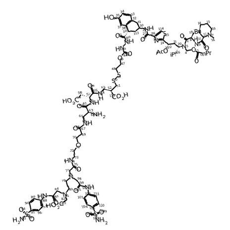 CCCC(=O)OCN(C(=O)[C@H](NC(=O)C1CCCCN1C)C(C)CC)[C@@H](C[C@H](OC(C)=O)c1nc(C(=O)NC2Cc3ccc(O)cc3[C@@H](C(=O)NNC(=O)OCCSSC[C@H](CNC(=O)[C@@H](CC(=O)O)NC(=O)[C@@H](N)CNC(=O)CCOCCNC(=O)CN(CCN(CC(=O)O)CC(=O)Nc3ccc(S(N)(=O)=O)cc3)CC(=O)Nc3ccc(S(N)(=O)=O)cc3)C(=O)O)C2)cs1)C(C)C